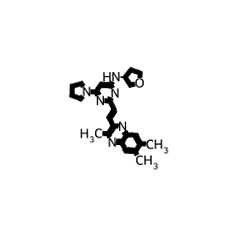 Cc1cc2nc(C)c(C=Cc3nc(N[C@@H]4CCOC4)cc(N4CCCC4)n3)nc2cc1C